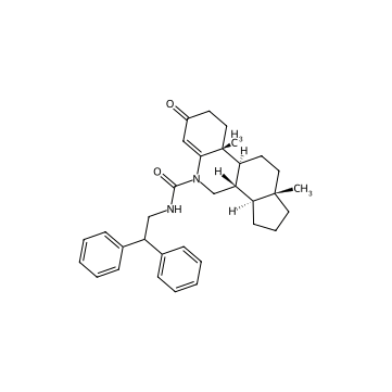 C[C@@]12CCC[C@H]1[C@@H]1CN(C(=O)NCC(c3ccccc3)c3ccccc3)C3=CC(=O)CC[C@]3(C)[C@H]1CC2